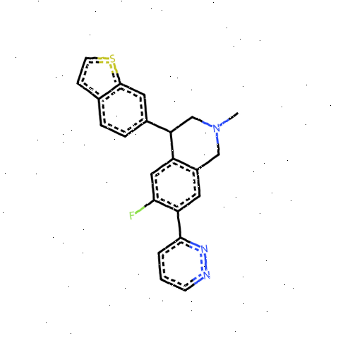 CN1Cc2cc(-c3cccnn3)c(F)cc2C(c2ccc3ccsc3c2)C1